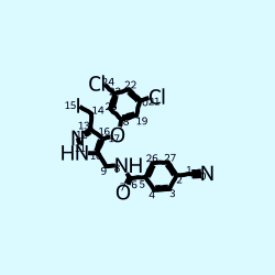 N#Cc1ccc(C(=O)NCc2[nH]nc(CI)c2Oc2cc(Cl)cc(Cl)c2)cc1